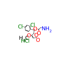 COC1=CC(=O)OC1C(OC(=O)CN)c1ccc(Cl)cc1Cl.Cl